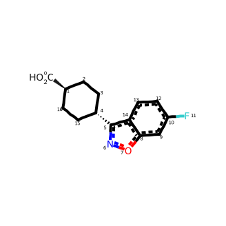 O=C(O)[C@H]1CC[C@H](c2noc3cc(F)ccc32)CC1